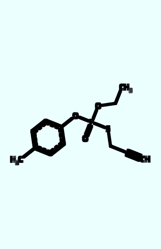 C#CCSP(=O)(OCC)Oc1ccc(C)cc1